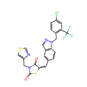 O=C1SC(=Cc2ccc3c(cnn3Cc3ccc(Cl)cc3C(F)(F)F)c2)C(=O)N1Cc1cscn1